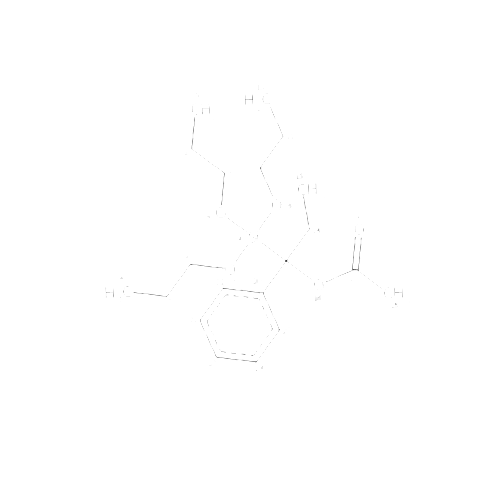 CCCO[Si](OCCC)(OCCC)C(CC)(OC(C)=O)c1ccccc1